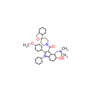 COc1ccc(-c2c(C(=O)N3CCC4(CC3)OCc3ccccc34)c3c(CN(C)C)c(O)ccc3n2-c2ccccc2)cc1